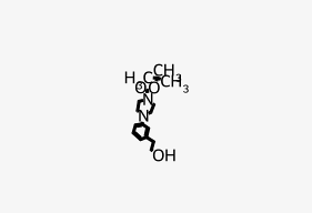 CC(C)(C)OC(=O)N1CCN(c2cccc(CCO)c2)CC1